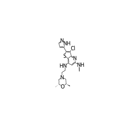 C[C@@H]1CN(CCNc2cc(NI)nc3c(Cl)c(-c4ccn[nH]4)sc23)C[C@@H](C)O1